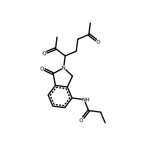 CCC(=O)Nc1cccc2c1CN(C(CCC(C)=O)C(C)=O)C2=O